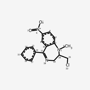 CN1c2ccc([N+](=O)[O-])cc2C(c2ccccc2)=NCC1CCl